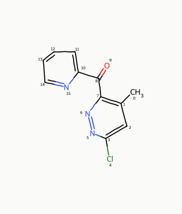 Cc1cc(Cl)nnc1C(=O)c1ccccn1